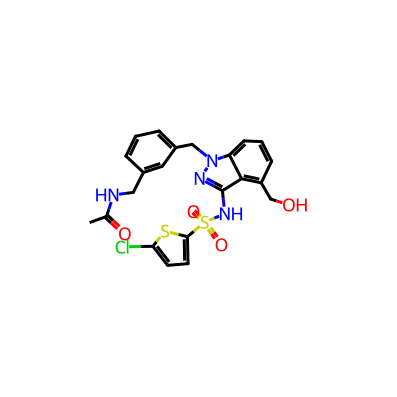 CC(=O)NCc1cccc(Cn2nc(NS(=O)(=O)c3ccc(Cl)s3)c3c(CO)cccc32)c1